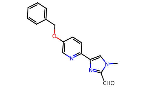 Cn1cc(-c2ccc(OCc3ccccc3)cn2)nc1C=O